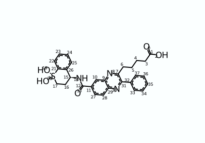 O=C(O)CCCCc1nc2cc(C(=O)N[C@H]3CCS(O)(O)c4ccccc43)ccc2nc1-c1ccccc1